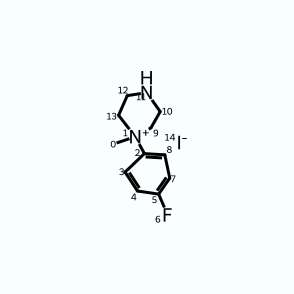 C[N+]1(c2ccc(F)cc2)CCNCC1.[I-]